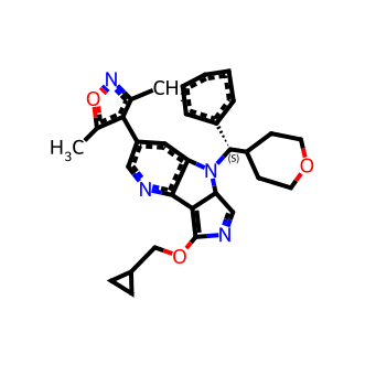 Cc1noc(C)c1-c1cnc2c(c1)N([C@H](c1ccccc1)C1CCOCC1)C1C=NC(OCC3CC3)=C21